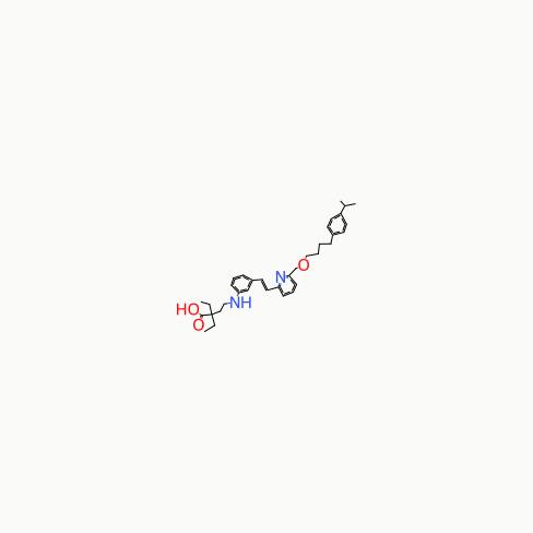 CCC(CC)(CCNc1cccc(C=Cc2cccc(COCCCCc3ccc(C(C)C)cc3)n2)c1)C(=O)O